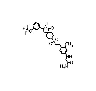 Cc1cc(NCC(N)=O)ccc1C=CS(=O)(=O)N1CCC2(CC1)N=C(c1cccc(OC(F)(F)F)c1)NC2=O